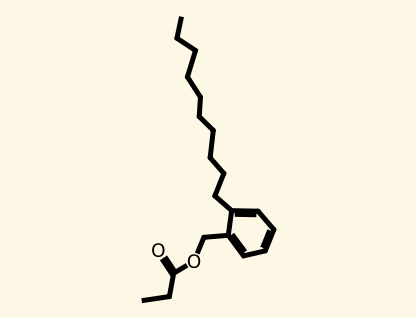 CCCCCCCCCCc1ccccc1COC(=O)CC